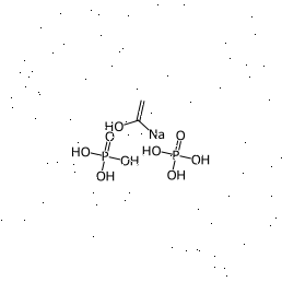 C=[C](O)[Na].O=P(O)(O)O.O=P(O)(O)O